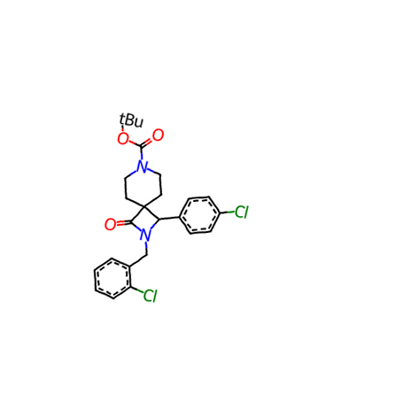 CC(C)(C)OC(=O)N1CCC2(CC1)C(=O)N(Cc1ccccc1Cl)C2c1ccc(Cl)cc1